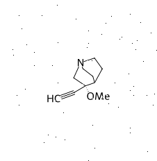 C#C[C@@]1(OC)CN2CCC1CC2